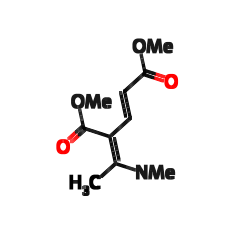 CN/C(C)=C(\C=C\C(=O)OC)C(=O)OC